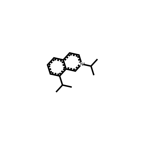 CC(C)c1cccc2cc[n+](C(C)C)cc12